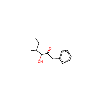 CCC(C)C(O)C(=O)Cc1ccccc1